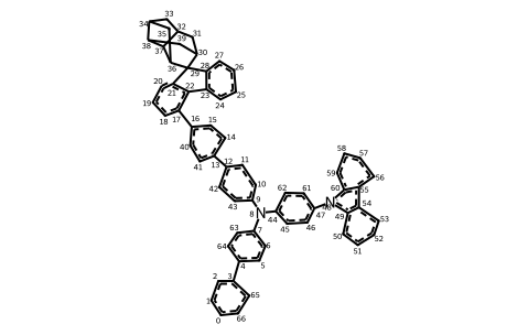 c1ccc(-c2ccc(N(c3ccc(-c4ccc(-c5cccc6c5-c5ccccc5C65C6CC7CC8CC5C7C8C6)cc4)cc3)c3ccc(-n4c5ccccc5c5ccccc54)cc3)cc2)cc1